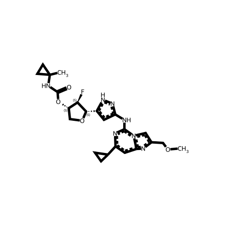 COCc1cn2c(Nc3cc([C@@H]4OC[C@H](OC(=O)NC5(C)CC5)[C@H]4F)[nH]n3)nc(C3CC3)cc2n1